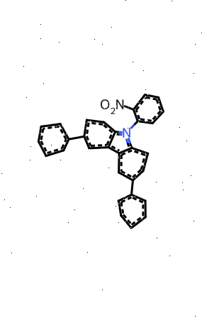 O=[N+]([O-])c1ccccc1-n1c2ccc(-c3ccccc3)cc2c2cc(-c3ccccc3)ccc21